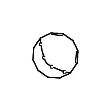 C1=CC2CCCCCC(C=CC1)CCCCC2